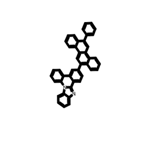 c1ccc(-c2cc3c4ccccc4c(-c4ccc5c(c4)c4ccccc4n4c6ccccc6nc54)cc3c3ccccc23)cc1